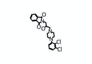 O=C(CN1CCN(c2cccc(Cl)c2Cl)CC1)CN1C(=O)c2ccccc2C1=O